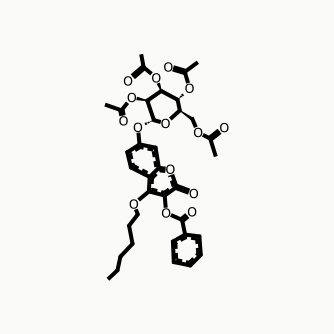 CCCCCCOc1c(OC(=O)c2ccccc2)c(=O)oc2cc(O[C@H]3O[C@H](COC(C)=O)[C@@H](OC(C)=O)[C@H](OC(C)=O)[C@@H]3OC(C)=O)ccc12